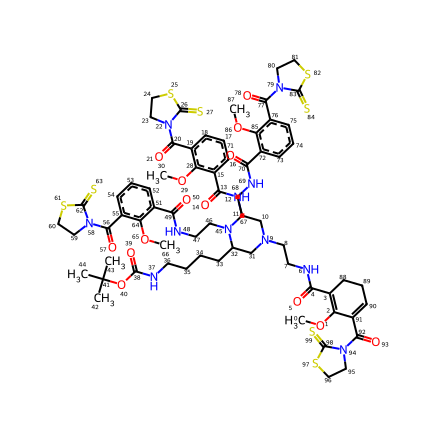 COC1=C(C(=O)NCCN(CCNC(=O)c2cccc(C(=O)N3CCSC3=S)c2OC)CC(CCCCNC(=O)OC(C)(C)C)N(CCNC(=O)c2cccc(C(=O)N3CCSC3=S)c2OC)CCNC(=O)c2cccc(C(=O)N3CCSC3=S)c2OC)CCC=C1C(=O)N1CCSC1=S